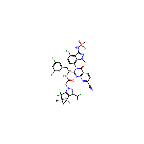 Cn1nc(NS(C)(=O)=O)c2c(Cl)ccc(-n3c([C@H](Cc4cc(F)cc(F)c4)NC(=O)Cn4nc(C(F)F)c5c4C(F)(F)[C@@H]4C[C@H]54)nc4nc(C#N)ccc4c3=O)c21